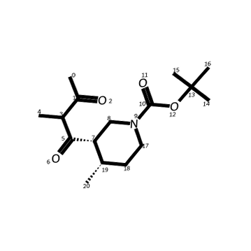 CC(=O)C(C)C(=O)[C@@H]1CN(C(=O)OC(C)(C)C)CC[C@@H]1C